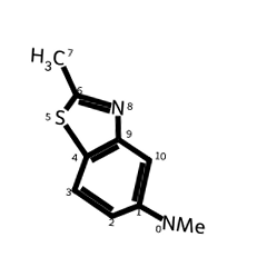 CNc1ccc2sc(C)nc2c1